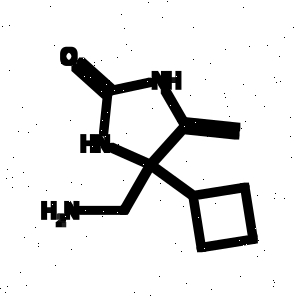 C=C1NC(=O)NC1(CN)C1CCC1